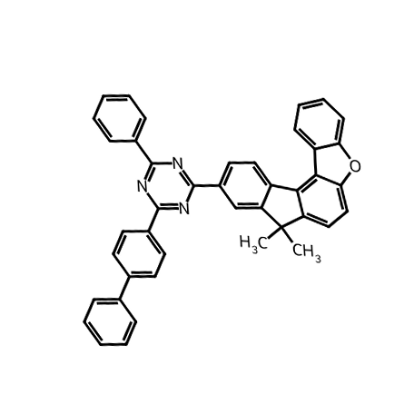 CC1(C)c2cc(-c3nc(-c4ccccc4)nc(-c4ccc(-c5ccccc5)cc4)n3)ccc2-c2c1ccc1oc3ccccc3c21